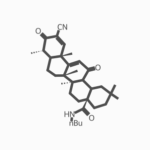 CCCCNC(=O)[C@]12CCC(C)(C)CC1C1C(=O)C=C3[C@@]4(C)C=C(C#N)C(=O)[C@@H](C)C4CC[C@@]3(C)[C@]1(C)CC2